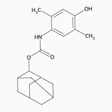 Cc1cc(NC(=O)OC2C3CC4CC(C3)CC2C4)c(C)cc1O